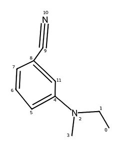 CCN(C)c1cccc(C#N)c1